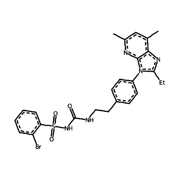 CCc1nc2c(C)cc(C)nc2n1-c1ccc(CCNC(=O)NS(=O)(=O)c2ccccc2Br)cc1